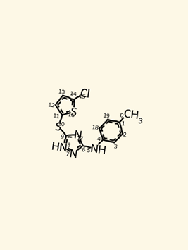 Cc1ccc(Nc2n[nH]c(Sc3ccc(Cl)s3)n2)cc1